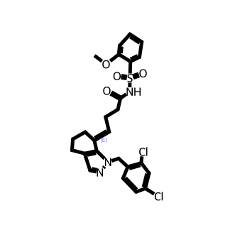 COc1ccccc1S(=O)(=O)NC(=O)CC/C=C1\CCCc2cnn(Cc3ccc(Cl)cc3Cl)c21